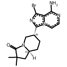 CC1(C)C[C@@H]2CC[C@@H](c3nc(Br)c4c(N)nccn34)CN2C1=O